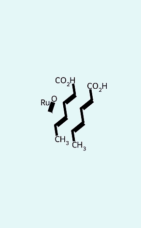 CC=CC=CC(=O)O.CC=CC=CC(=O)O.[C]=O.[Ru]